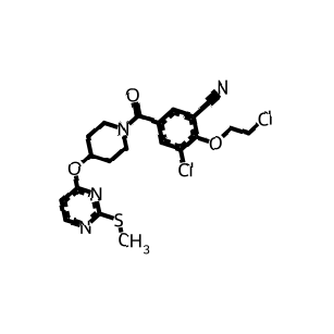 CSc1nccc(OC2CCN(C(=O)c3cc(Cl)c(OCCCl)c(C#N)c3)CC2)n1